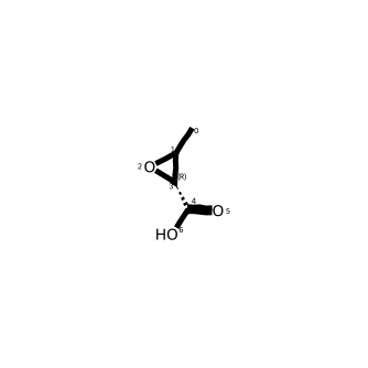 CC1O[C@H]1C(=O)O